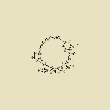 Cc1c2ccc3c1nnn3CCCCCCOc1ccc(c(F)c1)C(=O)N1CCc3ccc(cc3C1)[C@H]2CC(=O)O